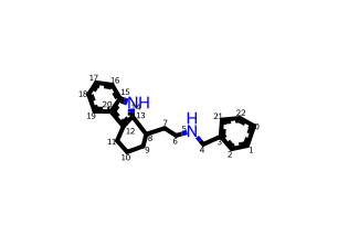 c1ccc(CNCCC2CCCc3c2[nH]c2ccccc32)cc1